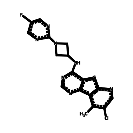 Cc1c(Cl)cnc2sc3c(NC4CN(c5ncc(F)cn5)C4)ncnc3c12